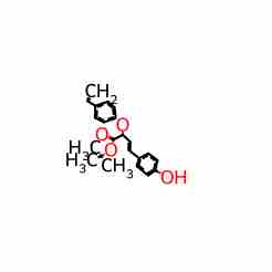 C=Cc1ccc(OC(C=Cc2ccc(O)cc2)C(=O)OC(C)(C)C)cc1